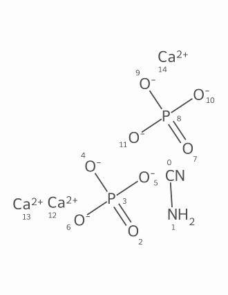 N#CN.O=P([O-])([O-])[O-].O=P([O-])([O-])[O-].[Ca+2].[Ca+2].[Ca+2]